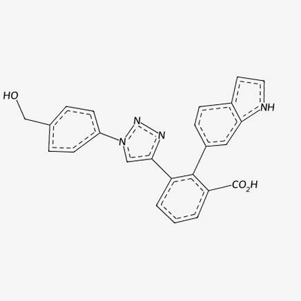 O=C(O)c1cccc(-c2cn(-c3ccc(CO)cc3)nn2)c1-c1ccc2cc[nH]c2c1